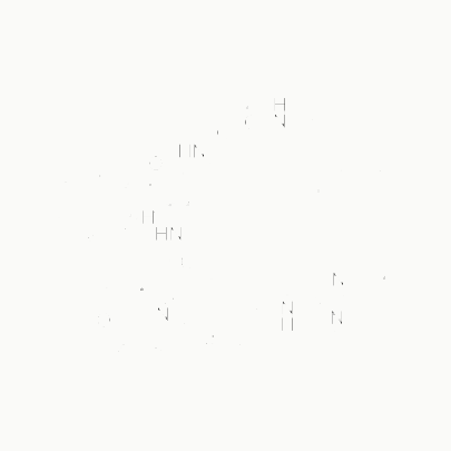 O=C1NCCNCc2ccc(cc2)-c2ccnc(n2)Nc2ccc(N3CCOCC3)c(c2)CN[C@H]1Cc1ccccc1